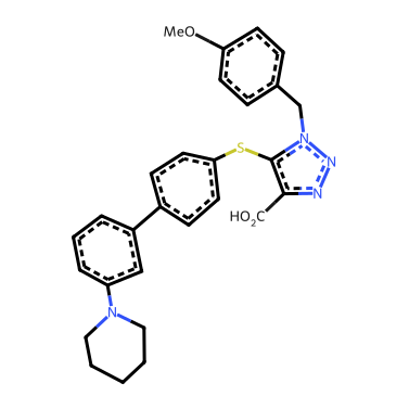 COc1ccc(Cn2nnc(C(=O)O)c2Sc2ccc(-c3cccc(N4CCCCC4)c3)cc2)cc1